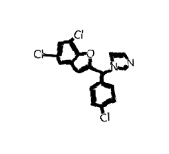 Clc1ccc(C(c2cc3cc(Cl)cc(Cl)c3o2)n2ccnc2)cc1